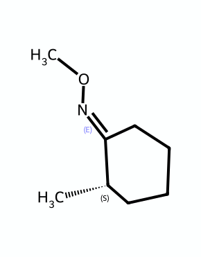 CO/N=C1\CCCC[C@@H]1C